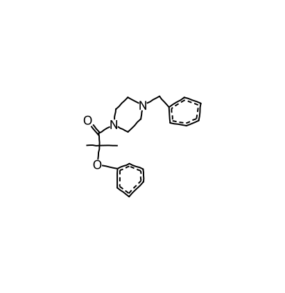 CC(C)(Oc1ccccc1)C(=O)N1CCN(Cc2ccccc2)CC1